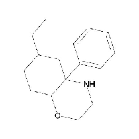 CCC1CCC2OCCNC2(c2ccccc2)C1